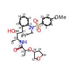 COc1ccc(S(=O)(=O)N(CC(C)C)c2ccccc2C[C@@H](O)[C@H](C)NC(=O)C(C)O[C@H]2CCOC2)cc1